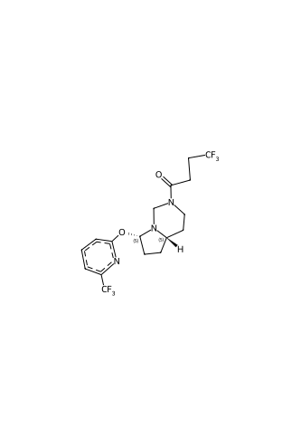 O=C(CCC(F)(F)F)N1CC[C@@H]2CC[C@H](Oc3cccc(C(F)(F)F)n3)N2C1